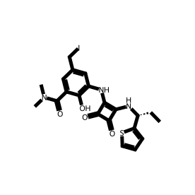 CC[C@@H](Nc1c(Nc2cc(CI)cc(C(=O)N(C)C)c2O)c(=O)c1=O)c1cccs1